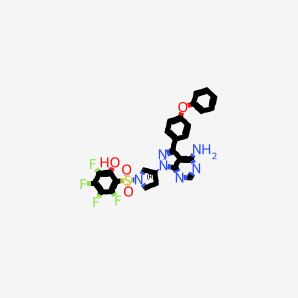 Nc1ncnc2c1c(-c1ccc(Oc3ccccc3)cc1)nn2[C@@H]1CCN(S(=O)(=O)c2c(O)c(F)c(F)c(F)c2F)C1